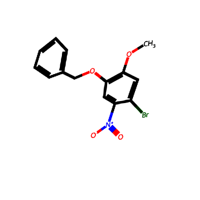 COc1cc(Br)c([N+](=O)[O-])cc1OCc1ccccc1